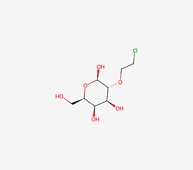 OC[C@H]1O[C@@H](O)[C@H](OCCCl)[C@@H](O)[C@H]1O